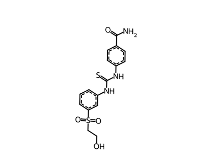 NC(=O)c1ccc(NC(=S)Nc2cccc(S(=O)(=O)CCO)c2)cc1